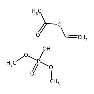 C=COC(C)=O.COP(=O)(O)OC